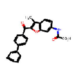 Cc1c(C(=O)c2ccc(-c3ccccc3)cc2)oc2cc(NC(=O)C(=O)O)ccc12